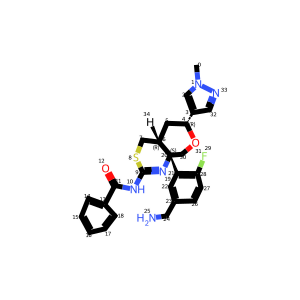 Cn1cc([C@H]2C[C@H]3CSC(NC(=O)c4ccccc4)=N[C@@]3(c3cc(CN)ccc3F)CO2)cn1